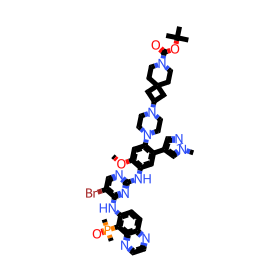 COc1cc(N2CCN(C3CC4(CCN(C(=O)OC(C)(C)C)CC4)C3)CC2)c(-c2cnn(C)c2)cc1Nc1ncc(Br)c(Nc2ccc3nccnc3c2P(C)(C)=O)n1